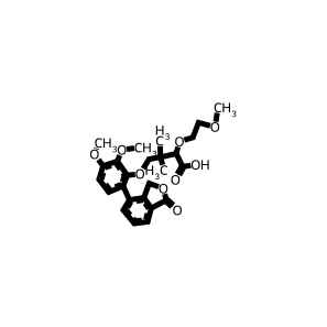 COCCOC(C(=O)O)C(C)(C)COc1c(-c2cccc3c2COC3=O)ccc(OC)c1OC